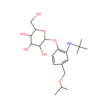 CC(C)OCc1ccc(OC2OC(CO)C(O)C(O)C2O)c(NC(C)(C)C)c1